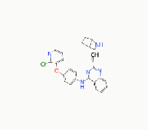 C#Cc1nc(Nc2ccc(Oc3cccnc3Cl)cc2)c2ccccc2n1.C1CC2NCC12